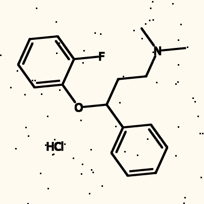 CN(C)CCC(Oc1ccccc1F)c1ccccc1.Cl